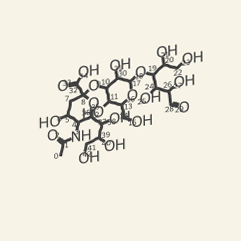 CC(=O)NC1C(O)CC(OC2C(O)C(CO)OC(OC(C(O)CO)C(O)C(O)C=O)C2O)(C(=O)O)OC1C(O)C(O)CO